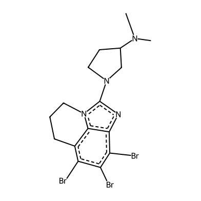 CN(C)C1CCN(c2nc3c(Br)c(Br)c(Br)c4c3n2CCC4)C1